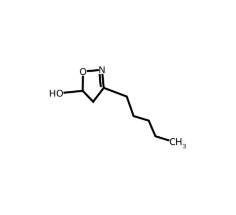 CCCCCC1=NOC(O)C1